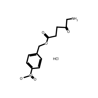 Cl.NCC(=O)CCC(=O)OCc1ccc([N+](=O)[O-])cc1